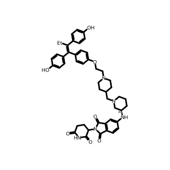 CCC(=C(c1ccc(O)cc1)c1ccc(OCCN2CCC(CN3CCC[C@@H](Nc4ccc5c(c4)C(=O)N(C4CCC(=O)NC4=O)C5=O)C3)CC2)cc1)c1ccc(O)cc1